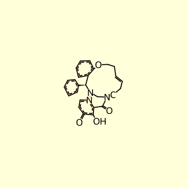 O=C1c2c(O)c(=O)ccn2N2CN1CC/C=C/CCOc1ccccc1[C@@H]2c1ccccc1